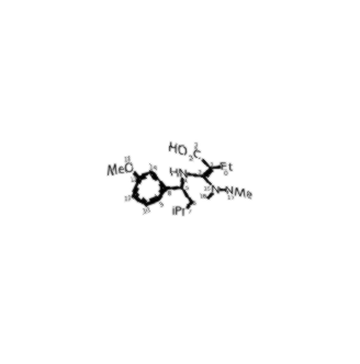 CC/C(C(=O)O)=C(/NC(CC(C)C)c1cccc(OC)c1)N(C)NC